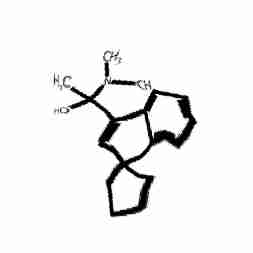 CN(C)C(C)(O)C1=CC2(CCCC2)c2ccccc21